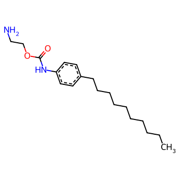 CCCCCCCCCCc1ccc(NC(=O)OCCN)cc1